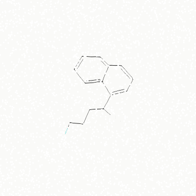 [CH2]C(CCCF)c1cccc2ccccc12